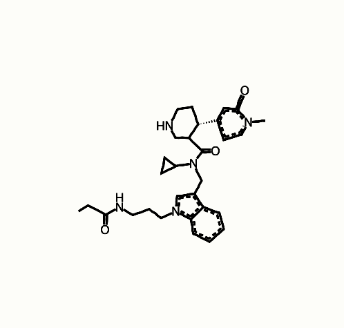 CCC(=O)NCCCn1cc(CN(C(=O)C2CNCC[C@@H]2c2ccn(C)c(=O)c2)C2CC2)c2ccccc21